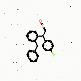 O=C=CC(c1ccc(F)cc1)c1ccccc1Cc1ccccc1